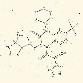 CC(C)(C)c1ccc(N(C(=O)C(=O)c2ccco2)C(CC2COC3OCCC23)C(=O)NC2CCCCC2)cc1